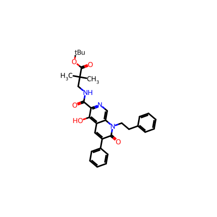 CC(C)(C)OC(=O)C(C)(C)CNC(=O)c1ncc2c(cc(-c3ccccc3)c(=O)n2CCc2ccccc2)c1O